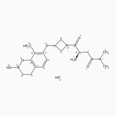 CN(C)C(=O)C[C@@H](N)C(=O)N1CC(Oc2ccc3c(c2C(=O)O)OB(O)CC3)C1.Cl